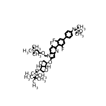 CC(C)(C)[Si](C)(C)O[C@@H]1CO[C@H]2[C@@H]1OC[C@H]2Oc1cc2nc(-c3c(F)cc(-c4ccc(N=S(C)(C)=O)cc4)cc3F)c(F)cc2n1COCC[Si](C)(C)C